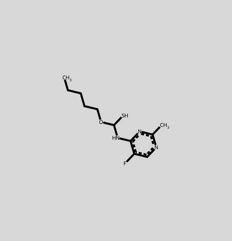 CCCCCOC(S)Nc1nc(C)ncc1F